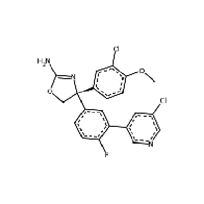 COc1ccc([C@@]2(c3ccc(F)c(-c4cncc(Cl)c4)c3)COC(N)=N2)cc1Cl